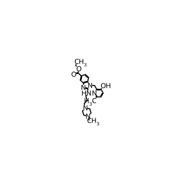 CCOC(=O)c1ccc2c(c1)nc(NCCCN1CCN(C)CC1)n2Cc1nc(C)ccc1O